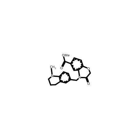 COC(=O)c1ccc2c(c1)N(Cc1ccc3c(c1)CCCN3C)C(=O)CO2